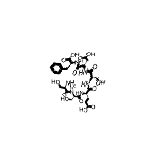 N[C@@H](CO)C(=O)N[C@@H](CO)C(=O)N[C@@H](CCC(=O)O)C(=O)N[C@@H](CO)C(=O)N[C@@H](CC(=O)O)C(=O)N[C@@H](Cc1ccccc1)C(=O)O